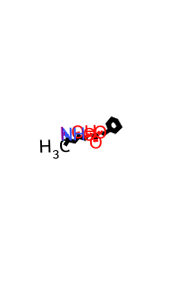 CC(CC(O)COC(=O)OCc1ccccc1)NI